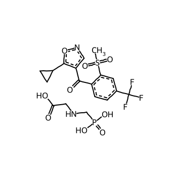 CS(=O)(=O)c1cc(C(F)(F)F)ccc1C(=O)c1cnoc1C1CC1.O=C(O)CNCP(=O)(O)O